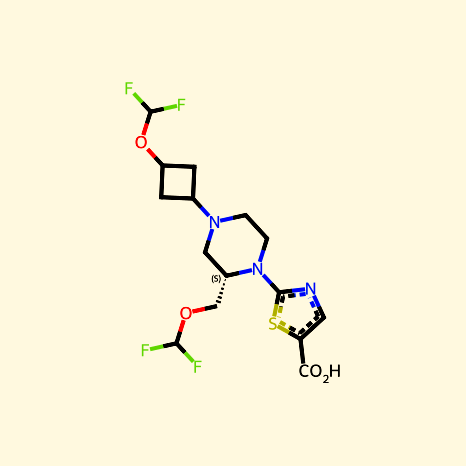 O=C(O)c1cnc(N2CCN(C3CC(OC(F)F)C3)C[C@H]2COC(F)F)s1